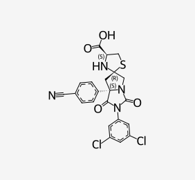 N#Cc1ccc([C@]23C[C@@]4(CN2C(=O)N(c2cc(Cl)cc(Cl)c2)C3=O)N[C@@H](C(=O)O)CS4)cc1